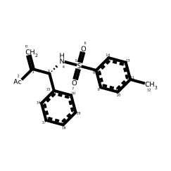 C=C(C(C)=O)[C@H](NS(=O)(=O)c1ccc(C)cc1)c1ccccc1